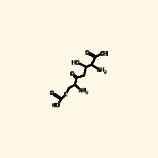 NC(CCC(=O)O)C(=O)CC(O)C(N)C(=O)O